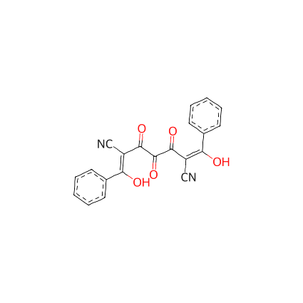 N#CC(C(=O)C(=O)C(=O)C(C#N)=C(O)c1ccccc1)=C(O)c1ccccc1